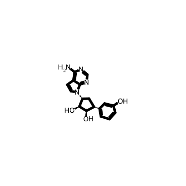 Nc1ncnc2c1ccn2[C@@H]1C[C@H](c2cccc(O)c2)[C@@H](O)[C@H]1O